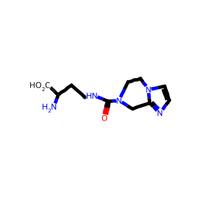 NC(CCNC(=O)N1CCn2ccnc2C1)C(=O)O